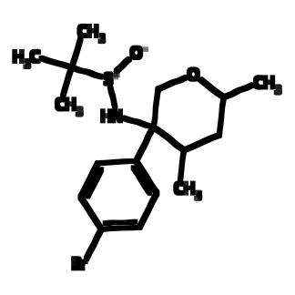 CC1CC(C)C(N[S+]([O-])C(C)(C)C)(c2ccc(Br)cc2)CO1